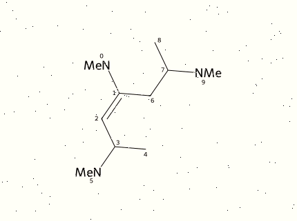 CNC(=CC(C)NC)CC(C)NC